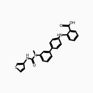 CN(C(=O)Nc1ccsc1)c1cccc(-c2ccc(Nc3ccccc3C(=O)O)cc2)c1